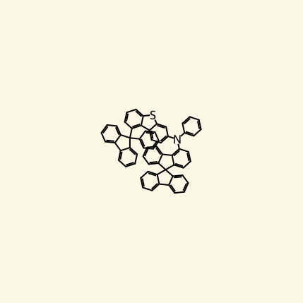 c1ccc(N(c2ccc3c(c2)sc2cccc(C4(c5ccccc5)c5ccccc5-c5ccccc54)c23)c2cccc3c2-c2ccccc2C32c3ccccc3-c3ccccc32)cc1